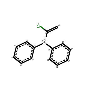 C=C(Cl)[SiH](c1ccccc1)c1ccccc1